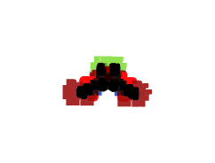 O=C1c2c(Br)c(Br)c(Br)c(Br)c2C(=O)C1c1ccc2c(N3C(=O)c4c(F)c(F)c(F)c(F)c4C3=O)c(Cc3ccc4nc(C5C(=O)c6c(Br)c(Br)c(Br)c(Br)c6C5=O)ccc4c3N3C(=O)c4c(F)c(F)c(F)c(F)c4C3=O)ccc2n1